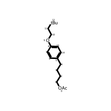 CC(=O)OCCCCc1ccc(OCCC(C)(C)C)cc1